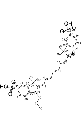 CCCN1/C(=C/C=C/C=C/C=C/C2=Nc3ccc(S(=O)(=O)O)cc3C2(C)C)C(C)(C)c2cc(S(=O)(=O)O)ccc21